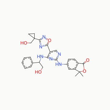 CC1(C)OC(=O)c2ccc(Nc3ncc(-c4nc(C5(CO)CC5)no4)c(NC(CO)c4ccccc4)n3)cc21